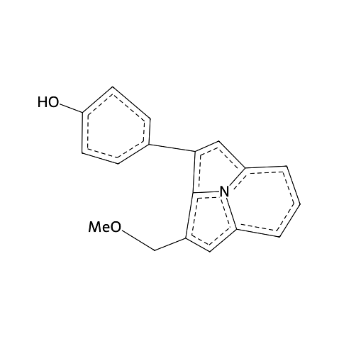 COCc1cc2cccc3cc(-c4ccc(O)cc4)c1n23